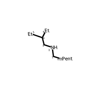 CCCCCCNCC(CC)CC